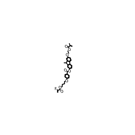 C=C(C)C(=O)OCCOc1ccc2c(c1)C(C)c1cc(OC(=O)c3ccc(OCCCCOC(=O)C(=C)F)cc3)ccc1-2